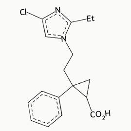 CCc1nc(Cl)cn1CCC1(c2ccccc2)CC1C(=O)O